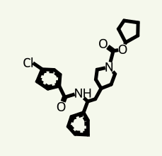 O=C(NC(CC1CCN(C(=O)OC2CCCC2)CC1)c1ccccc1)c1ccc(Cl)cc1